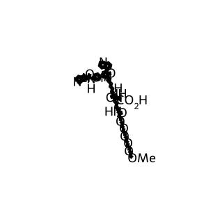 COCCOCCOCCOCCOCCOCCC(=O)NCCCCC(NC(=O)O)C(=O)NCCCCCCN1N=C(c2ccc(NC(=O)N3Cc4ccncc4C3)cc2)CC(c2cccc3ncccc23)C1=O